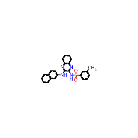 Cc1cccc(S(=O)(=O)Nc2nc3ccccc3nc2Nc2ccc3ccccc3c2)c1